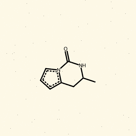 CC1Cc2cccn2C(=O)N1